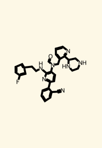 N#Cc1ccccc1-c1ccc(N(C=O)Cc2cccnc2C2CNCCN2)c(NCCc2cccc(F)c2)n1